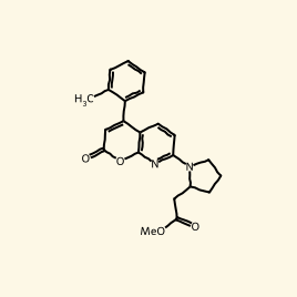 COC(=O)CC1CCCN1c1ccc2c(-c3ccccc3C)cc(=O)oc2n1